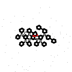 Fc1c2c(cc3c1N(c1c(-c4ccccc4)cccc1C(F)(F)F)c1cc(N(c4ccccc4)c4ccccc4)cc4c1B3c1ccccc1N4c1ccccc1)B1c3ccccc3N(c3ccccc3)c3cc(N(c4ccc(-c5ccccc5)cc4)c4cccc(-c5ccccc5)c4)cc(c31)S2